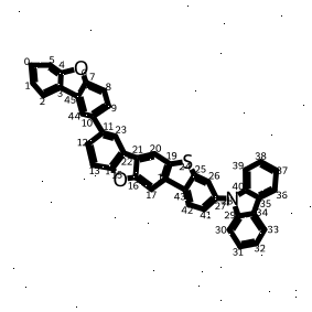 c1ccc2c(c1)oc1ccc(-c3ccc4oc5cc6c(cc5c4c3)sc3cc(-n4c5ccccc5c5ccccc54)ccc36)cc12